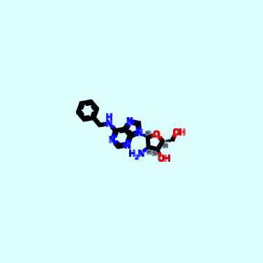 N[C@@H]1[C@H](O)[C@@H](CO)O[C@H]1n1cnc2c(NCc3ccccc3)ncnc21